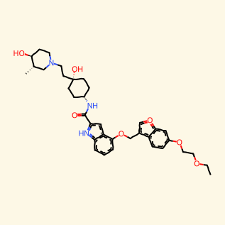 CCOCCOc1ccc2c(COc3cccc4[nH]c(C(=O)N[C@H]5CC[C@](O)(CCN6CC[C@H](O)[C@@H](C)C6)CC5)cc34)coc2c1